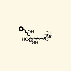 CC(Br)OC(=O)CCCC=CC[C@@H]1[C@@H](CC[C@@H](O)CCc2ccccc2)[C@H](O)C[C@H]1O